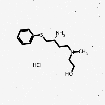 CN(CCO)CC[C@@H](N)CSc1ccccc1.Cl